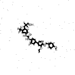 CCOc1cc(-c2ccc(NC(=O)Nc3ccc(CC(C)(C)CO)c(C(F)(F)F)c3)c(F)c2)cnc1OCc1ccc(OC)cc1